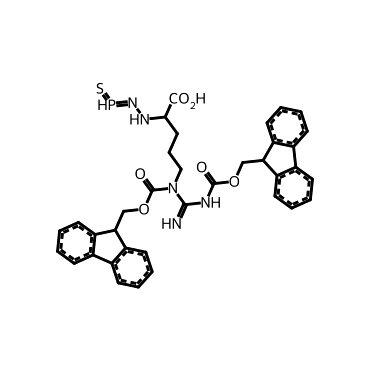 N=C(NC(=O)OCC1c2ccccc2-c2ccccc21)N(CCCC(NN=[PH]=S)C(=O)O)C(=O)OCC1c2ccccc2-c2ccccc21